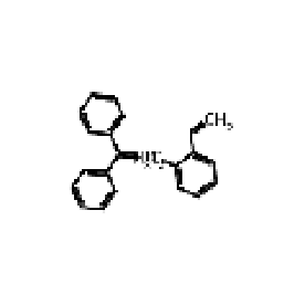 C=C(c1ccccc1)c1ccccc1.C=Cc1ccccc1C